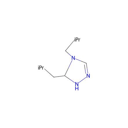 CC(C)CC1NN=CN1CC(C)C